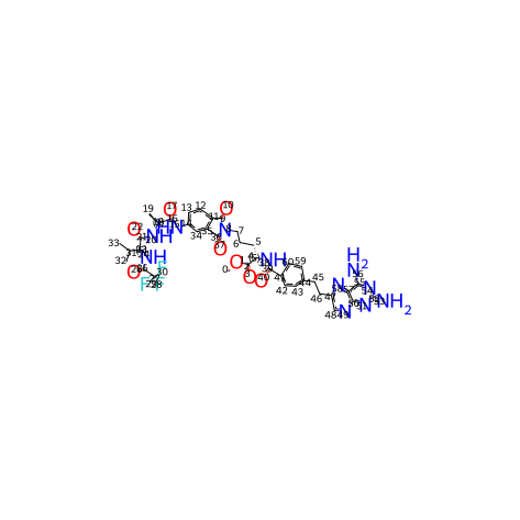 COC(=O)[C@H](CCCN1C(=O)c2ccc(NC(=O)[C@H](C)NC(=O)[C@@H](NC(=O)C(F)(F)F)C(C)C)cc2C1=O)NC(=O)c1ccc(CCc2cnc3nc(N)nc(N)c3n2)cc1